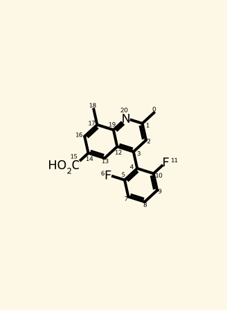 Cc1cc(-c2c(F)cccc2F)c2cc(C(=O)O)cc(C)c2n1